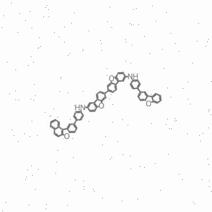 c1ccc2c(c1)ccc1oc3ccc(-c4ccc(Nc5ccc6oc7cc(-c8ccc9c(c8)oc8ccc(Nc%10ccc(-c%11ccc%12oc%13ccccc%13c%12c%11)cc%10)cc89)ccc7c6c5)cc4)cc3c12